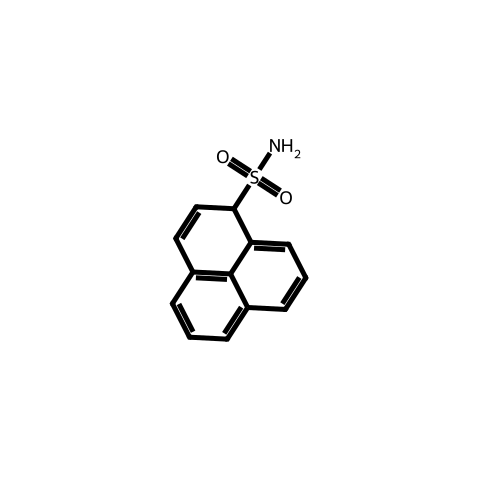 NS(=O)(=O)C1C=Cc2cccc3cccc1c23